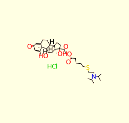 CC1=CC(=O)C=C2CC[C@@H]3[C@H](C(O)C[C@@]4(C)[C@H]3CC[C@]4(O)C(=O)COC(=O)CCCCSCCN(C(C)C)C(C)C)[C@@]12C.Cl